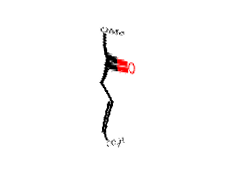 COC(=O)C/C=C/C(=O)O